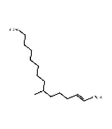 [CH2]CCCC/C=C/CCCC(C)CCCCCCCCCCCCCCCC[CH2]